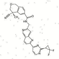 C[C@@]1(C#N)COCc2ccc(C(=O)NCc3cc4nc(-c5ccnc([C@H]6CC6(F)F)n5)ccc4cn3)cc21